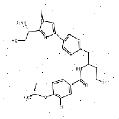 CC(=O)N[C@@H](CO)c1nc(-c2ccc(C[C@@H](CCO)NC(=O)c3ccc(O[C@H](C)C(F)(F)F)c(Cl)c3)cc2)cn1C